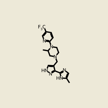 Cc1cnc(-c2n[nH]cc2CN2CCN(c3ccc(C(F)(F)F)cn3)C(C)C2)[nH]1